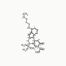 COCCCOc1cccc2c3n(nc12)CC(C(C)(C)C)n1cc(C(=O)O)c(=O)cc1-3